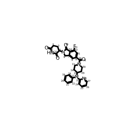 O=C1CCC(N2Cc3cc(C(=O)N4CCC(N(c5ccccc5)c5ccccn5)CC4)cc(F)c3C2=O)C(=O)N1